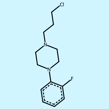 Fc1ccccc1N1CCN(CCCCl)CC1